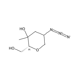 CC1(O)CC(N=[N+]=[N-])CO[C@@H]1CO